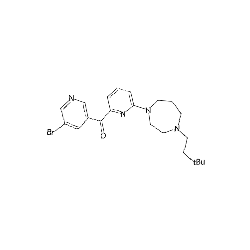 CC(C)(C)CCN1CCCN(c2cccc(C(=O)c3cncc(Br)c3)n2)CC1